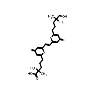 CC(C)(CO)CCCc1cc(=O)cc(C=Cc2cc(=O)cc(CCCC(C)(C)C(=O)O)s2)s1